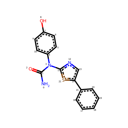 NC(=O)N(c1ccc(O)cc1)c1ncc(-c2ccccc2)s1